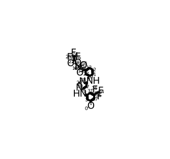 COc1cc(Nc2cc(Nc3cccc(S(=O)(=O)N(C)OC(=O)C(F)(F)F)c3)ncn2)cc(C(F)(F)F)c1